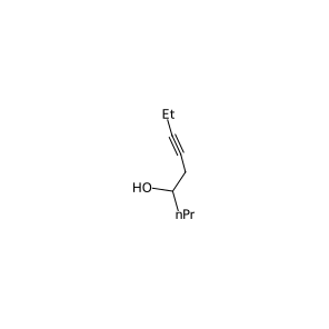 CCC#CCC(O)CCC